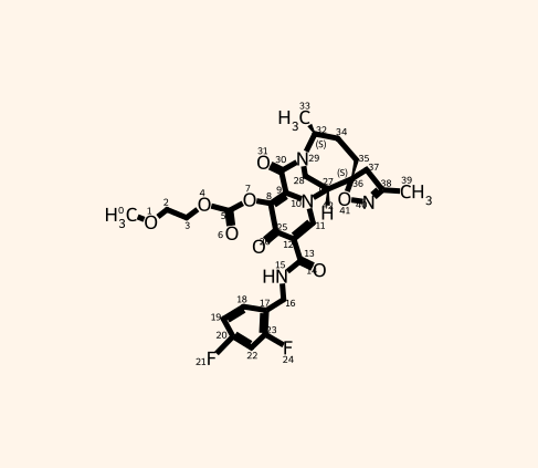 COCCOC(=O)Oc1c2n(cc(C(=O)NCc3ccc(F)cc3F)c1=O)[C@@H]1CN(C2=O)[C@@H](C)CC[C@]12CC(C)=NO2